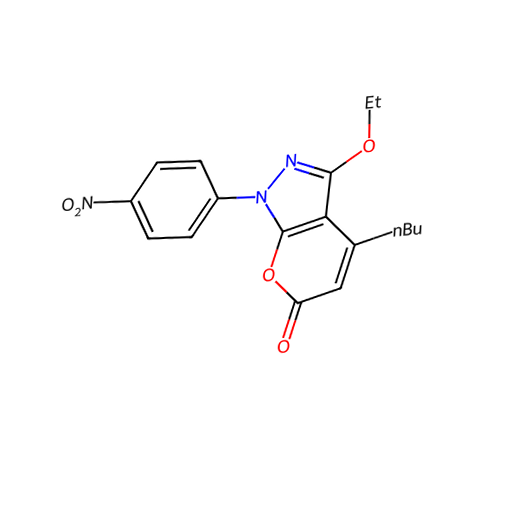 CCCCc1cc(=O)oc2c1c(OCC)nn2-c1ccc([N+](=O)[O-])cc1